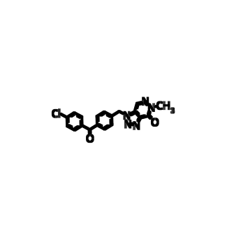 Cn1ncc2c(nnn2Cc2ccc(C(=O)c3ccc(Cl)cc3)cc2)c1=O